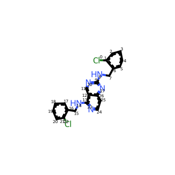 Clc1ccccc1CNc1ncc2c(NCc3ccccc3Cl)nccc2n1